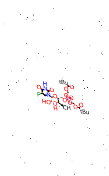 C#C[C@H](O)[C@@H](COP(=O)(OCOC(=O)C(C)(C)C)OCOC(=O)C(C)(C)C)O[C@H](CO)n1cc(F)c(=O)[nH]c1=O